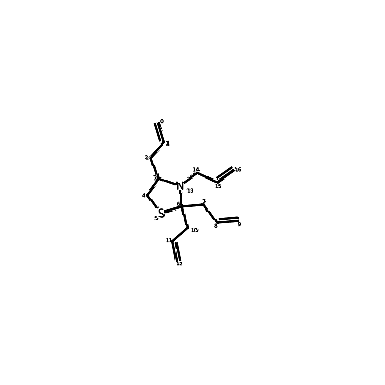 C=CCC1CSC(CC=C)(CC=C)N1CC=C